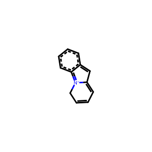 C1=CC[N+]2=c3ccccc3=CC2=C1